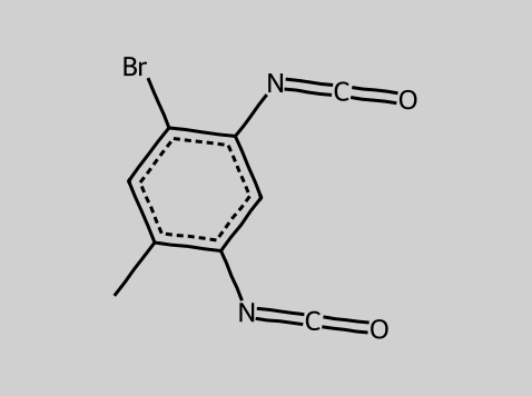 Cc1cc(Br)c(N=C=O)cc1N=C=O